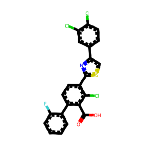 O=C(O)c1c(-c2ccccc2F)ccc(-c2nc(-c3ccc(Cl)c(Cl)c3)cs2)c1Cl